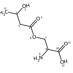 CC(O)CC(=O)OCC(N)C(=O)O